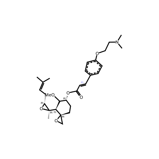 COC1[C@H](OC(=O)/C=C/c2ccc(OCCN(C)C)cc2)CC[C@]2(CO2)[C@H]1[C@@]1(C)O[C@@H]1CC=C(C)C